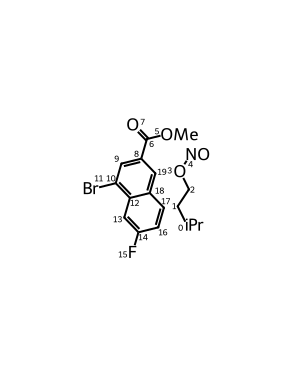 CC(C)CCON=O.COC(=O)c1cc(Br)c2cc(F)ccc2c1